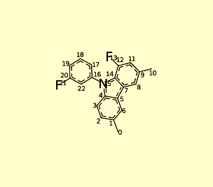 Cc1ccc2c(c1)c1cc(C)cc(F)c1n2-c1cccc(F)c1